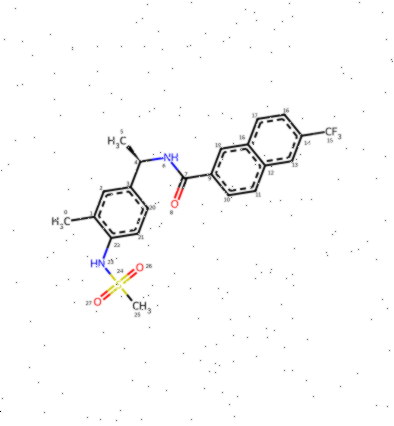 Cc1cc([C@@H](C)NC(=O)c2ccc3cc(C(F)(F)F)ccc3c2)ccc1NS(C)(=O)=O